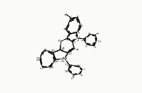 Cc1ccc2c(c1)c1c(n2-c2ccccc2)C=C2C(C1)c1ccccc1N2c1ccccc1